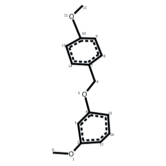 COc1[c]c(OCc2ccc(OC)cc2)ccc1